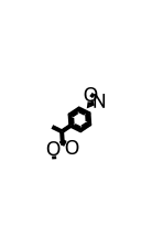 C1=NO1.COC(=O)C(C)c1ccccc1